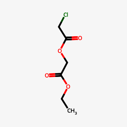 CCOC(=O)COC(=O)CCl